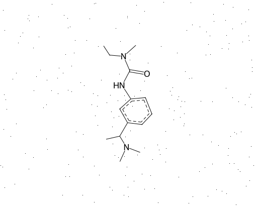 CCN(C)C(=O)Nc1cccc(C(C)N(C)C)c1